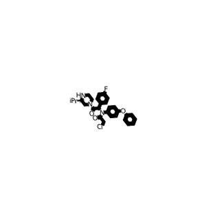 CC(C)[C@@H]1CN(C(=O)C(c2ccc(F)cc2)N(C(=O)CCl)c2ccc(Oc3ccccc3)cc2)CCN1